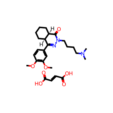 COc1ccc(C2=NN(CCCCN(C)C)C(=O)[C@@H]3CCCC[C@H]23)cc1OC.O=C(O)C=CC(=O)O